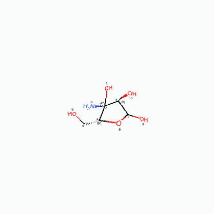 N[C@]1(O)[C@@H](CO)OC(O)[C@@H]1O